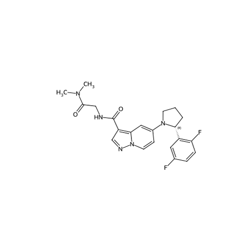 CN(C)C(=O)CNC(=O)c1cnn2ccc(N3CCC[C@@H]3c3cc(F)ccc3F)cc12